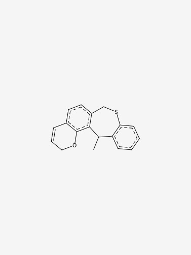 CC1c2ccccc2SCc2ccc3c(c21)OCC=C3